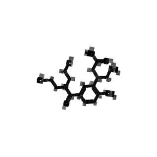 Cc1ccc(C(=O)N(CCCl)CCCl)cc1C(CN)CC(=O)O